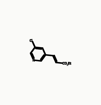 CCOC(=O)/C=C/c1cncc(Cl)c1